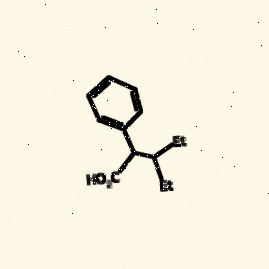 CCC(CC)C(C(=O)O)c1ccccc1